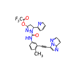 Cc1ccc(NC(=O)N2N=C(OC(=O)C(F)(F)F)CC2c2ccccn2)cc1C#Cc1cnc2cccnn12